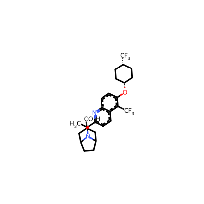 CC(c1ccc2c(C(F)(F)F)c(O[C@H]3CC[C@@H](C(F)(F)F)CC3)ccc2n1)N1C2CCC1CC(C(=O)O)C2